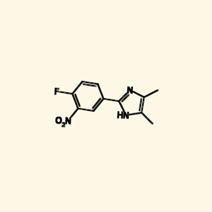 Cc1nc(-c2ccc(F)c([N+](=O)[O-])c2)[nH]c1C